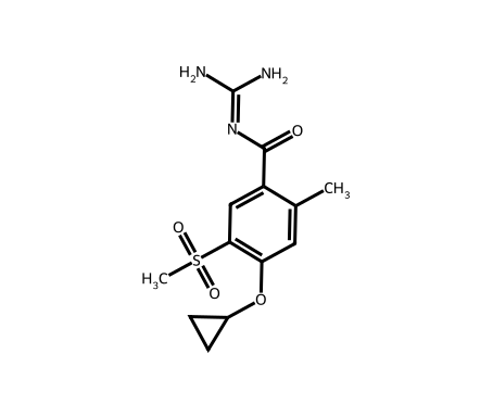 Cc1cc(OC2CC2)c(S(C)(=O)=O)cc1C(=O)N=C(N)N